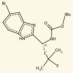 CC(C)(F)C[C@@H](NC(=O)OC(C)(C)C)c1nc2cc(Br)ccc2[nH]1